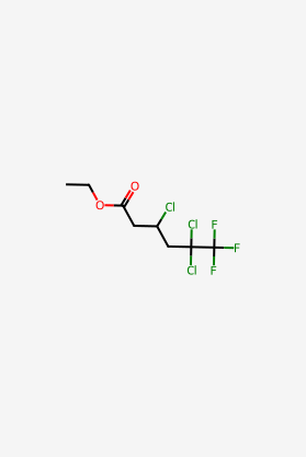 CCOC(=O)CC(Cl)CC(Cl)(Cl)C(F)(F)F